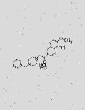 COc1ccc2cc(C(=O)CN3CCN(Cc4ccccc4)CC3)ccc2c1Cl.Cl.Cl